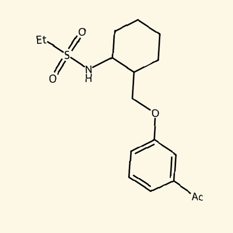 CCS(=O)(=O)NC1CCCCC1COc1cccc(C(C)=O)c1